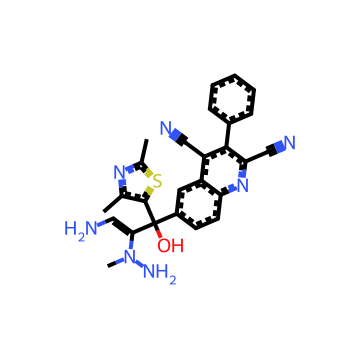 Cc1nc(C)c(C(O)(/C(=C/N)N(C)N)c2ccc3nc(C#N)c(-c4ccccc4)c(C#N)c3c2)s1